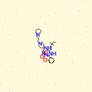 CCC(C)(C)CCC(Nc1nc(=O)oc2ccccc12)C(=O)NC1(C#N)CCN(CCCN2CCCCC2)CC1